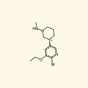 CCOc1cc([C@@H]2CCCN(NC)C2)cnc1Br